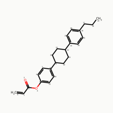 C=CC(=O)Oc1ccc(C2CCC(c3ccc(CCC)cc3)CC2)cc1